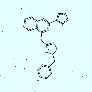 C1=C(Oc2nc(-c3cccs3)cc3ccccc23)OC(Cc2ccccc2)O1